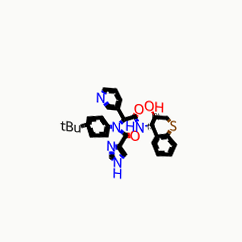 CC(C)(C)c1ccc(N(C(=O)c2c[nH]cn2)C(C(=O)N[C@H]2c3ccccc3SC[C@@H]2O)c2cccnc2)cc1